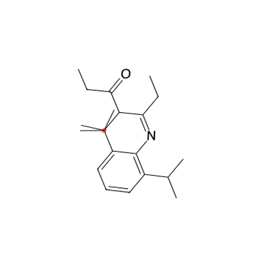 CCC(=O)C(CC)/C(CC)=N\c1c(C(C)C)cccc1C(C)C